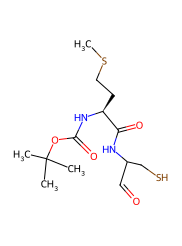 CSCC[C@H](NC(=O)OC(C)(C)C)C(=O)NC(C=O)CS